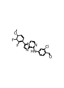 COC1C=CC(c2cnc3c(Nc4ccc(C=O)c(Cl)c4)nccn23)=C(F)C1F